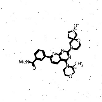 CNC(=O)c1cccc(-c2ccc3c(N4CCOC[C@@H]4C)nc(N4CCOC5(CC[S+]([O-])C5)C4)nc3n2)c1